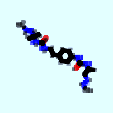 CC(C/N=N/C(C)(C)C)NC(=O)NC1CCC(CCNC(=O)NC(C)(C)/N=N/C(C)(C)C)CC1